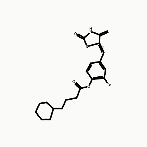 C=c1[nH]c(=O)s/c1=C\c1ccc(OC(=O)CCCC2CCCCC2)c(Br)c1